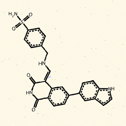 NS(=O)(=O)c1ccc(CN/C=C2\C(=O)NC(=O)c3ccc(-c4ccc5[nH]ccc5c4)cc32)cc1